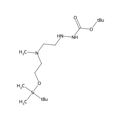 CN(CCNNC(=O)OC(C)(C)C)CCO[Si](C)(C)C(C)(C)C